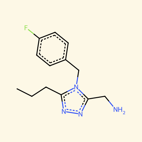 CCCc1nnc(CN)n1Cc1ccc(F)cc1